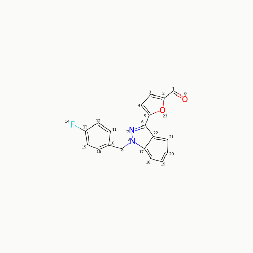 O=Cc1ccc(-c2nn(Cc3ccc(F)cc3)c3ccccc23)o1